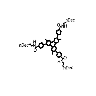 CCCCCCCCCCCCNC(=O)c1ccc(-c2cc3c(cc2C)c2cc(-c4ccc(C(=O)NCCCCCCCCCCCC)cc4)c(C)cc2c2cc(-c4ccc(C(=O)NCCCCCCCCCCCC)cc4)c(C)cc32)cc1